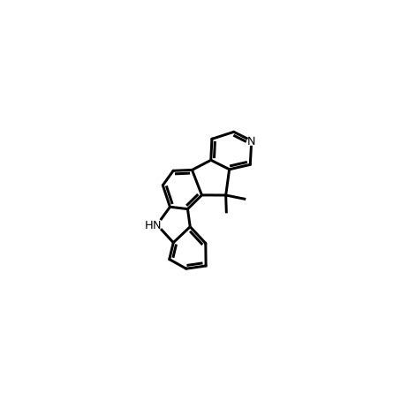 CC1(C)c2cnccc2-c2ccc3[nH]c4ccccc4c3c21